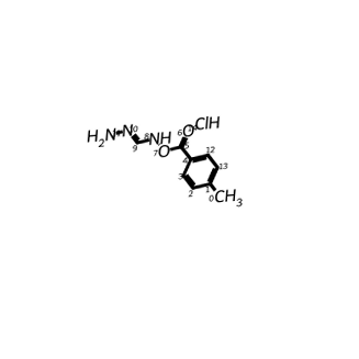 Cc1ccc(C(=O)ONC=NN)cc1.Cl